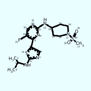 CC(C)Nc1ncc(-c2nc(NC3CCN(S(C)(=O)=O)CC3)ncc2F)s1